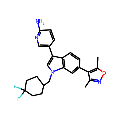 Cc1noc(C)c1-c1ccc2c(-c3ccc(N)nc3)cn(CC3CCC(F)(F)CC3)c2c1